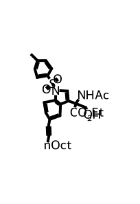 CCCCCCCCC#Cc1ccc2c(c1)c(C(CO)(NC(C)=O)C(=O)OCC)cn2S(=O)(=O)c1ccc(C)cc1